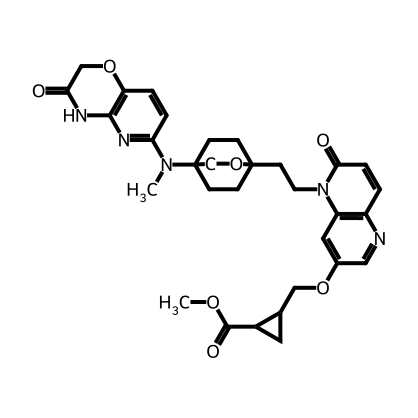 COC(=O)C1CC1COc1cnc2ccc(=O)n(CCC34CCC(N(C)c5ccc6c(n5)NC(=O)CO6)(CC3)CO4)c2c1